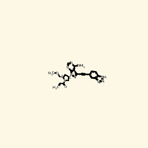 C=CC(=O)N1C[C@@H](n2nc(C#Cc3ccc4[nH]nnc4c3)c3c(N)ncnc32)C[C@@H]1COC